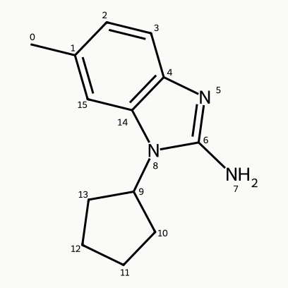 Cc1ccc2nc(N)n(C3CCCC3)c2c1